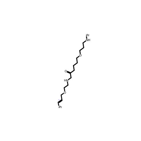 CC(C)/C=C/COCCNCC(=O)CCCCOCCCNC(C)C